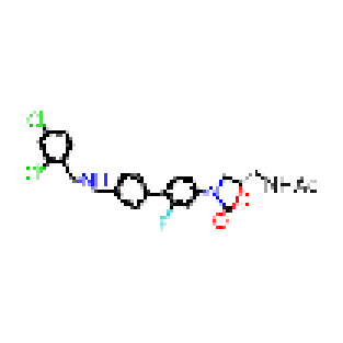 CC(=O)NC[C@H]1CN(c2ccc(-c3ccc(CNCc4ccc(Cl)cc4Cl)cc3)c(F)c2)C(=O)O1